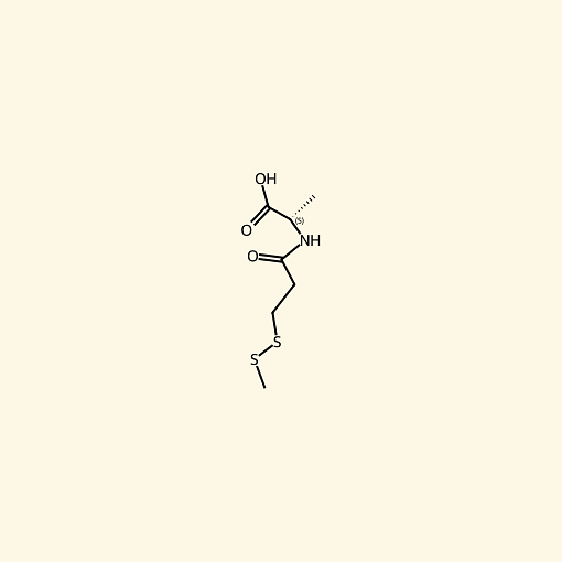 CSSCCC(=O)N[C@@H](C)C(=O)O